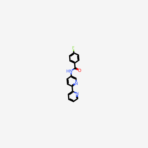 O=C(Nc1ccc(-c2ccccn2)nc1)c1ccc(F)cc1